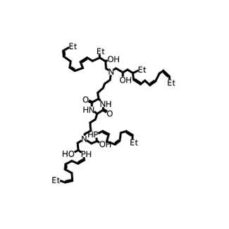 CC/C=C\C/C=C\C/C=C\CC(CC)C(O)CN(CCCCC1NC(=O)C(CCCCN(CC(O)P/C=C\C/C=C\C/C=C\CC)CC(O)P/C=C\C/C=C\C/C=C\CC)NC1=O)CC(O)CC(/C=C\C/C=C\C/C=C\CC)CC